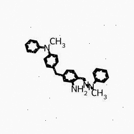 CN(N=Cc1ccc(Cc2ccc(N(C)c3ccccc3)cc2)cc1N)c1ccccc1